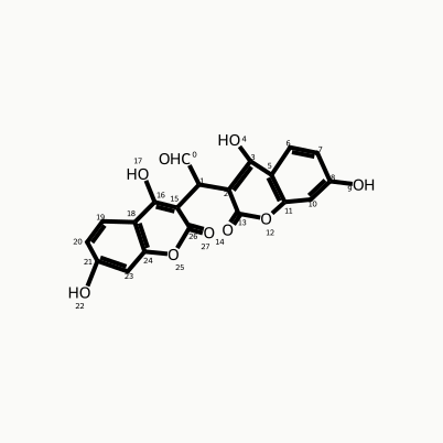 O=CC(c1c(O)c2ccc(O)cc2oc1=O)c1c(O)c2ccc(O)cc2oc1=O